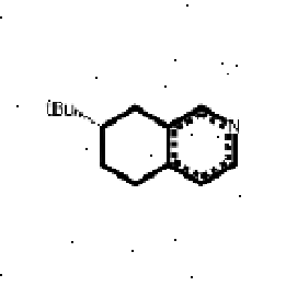 CC(C)(C)[C@H]1CCc2ccncc2C1